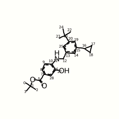 CC(C)(C)OC(=O)c1ccc(NCc2cc(C3CC3)cc(C(C)(C)C)c2)c(O)c1